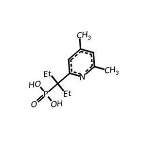 CCC(CC)(c1cc(C)cc(C)n1)P(=O)(O)O